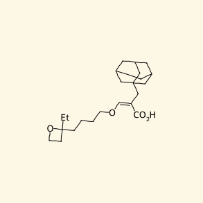 CCC1(CCCCOC=C(CC23CC4CC(CC(C4)C2)C3)C(=O)O)CCO1